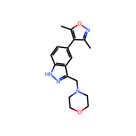 Cc1noc(C)c1-c1ccc2[nH]nc(CN3CCOCC3)c2c1